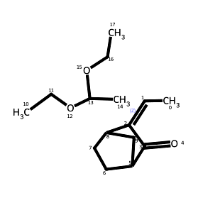 C/C=C1\C(=O)C2CCC1C2.CCOC(C)OCC